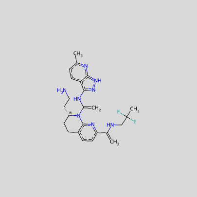 C=C(NCC(C)(F)F)c1ccc2c(n1)N(C(=C)Nc1n[nH]c3nc(C)ccc13)[C@@H](CCN)CC2